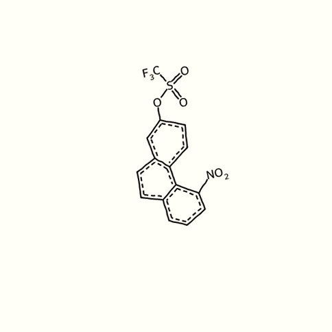 O=[N+]([O-])c1cccc2ccc3cc(OS(=O)(=O)C(F)(F)F)ccc3c12